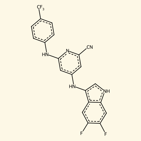 N#Cc1cc(Nc2c[nH]c3cc(F)c(F)cc23)cc(Nc2ccc(C(F)(F)F)cc2)n1